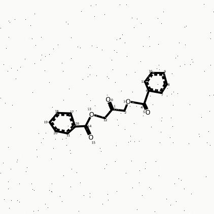 O=C(COC(=O)c1ccccc1)COC(=O)c1ccccc1